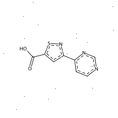 O=C(O)c1cc(-c2ccncn2)ns1